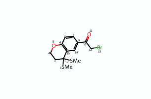 CSC1(SC)CCOc2ccc(C(=O)CBr)cc21